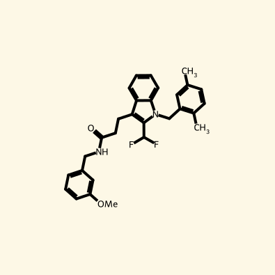 COc1cccc(CNC(=O)CCc2c(C(F)F)n(Cc3cc(C)ccc3C)c3ccccc23)c1